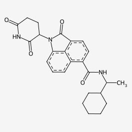 CC(NC(=O)c1ccc2c3c(cccc13)N(C1CCC(=O)NC1=O)C2=O)C1CCCCC1